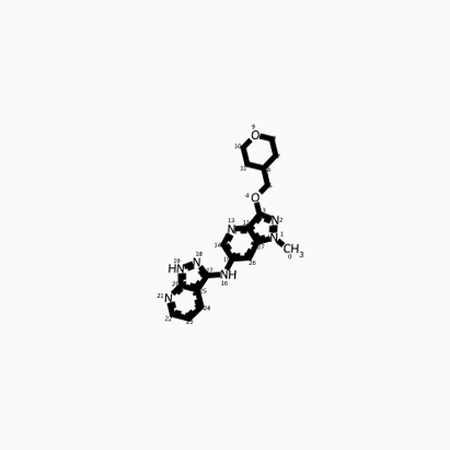 Cn1nc(OCC2CCOCC2)c2ncc(Nc3n[nH]c4ncccc34)cc21